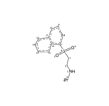 CC(C)NCCS(=O)(=O)c1cccc2ccccc12